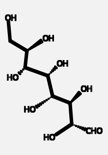 O=C[C@H](O)[C@H](O)[C@H](O)[C@@H](O)[C@H](O)[C@H](O)CO